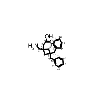 NCC1(CC(=O)O)CC(Cc2ccccc2)(Cc2ccccc2)C1